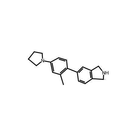 Cc1cc(N2CCCC2)ccc1-c1ccc2c(c1)CN[CH]2